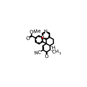 COC(=O)c1ccc(C23C=C(C#N)C(=O)[C@@H](C)[C@@H]2CCc2cncnc23)cc1